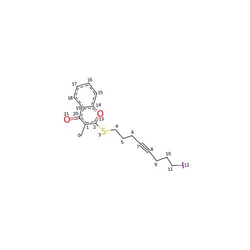 Cc1c(SCCCC#CCCCI)oc2ccccc2c1=O